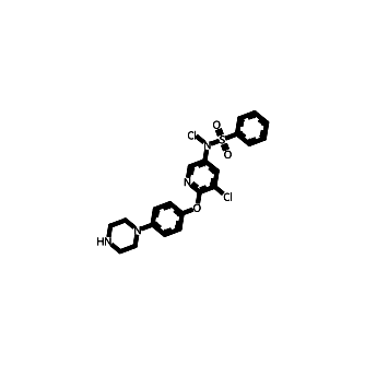 O=S(=O)(c1ccccc1)N(Cl)c1cnc(Oc2ccc(N3CCNCC3)cc2)c(Cl)c1